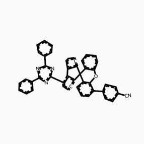 N#Cc1ccc(-c2cccc3c2Oc2ccccc2C32c3ccccc3-c3c(-c4nc(-c5ccccc5)nc(-c5ccccc5)n4)cccc32)cc1